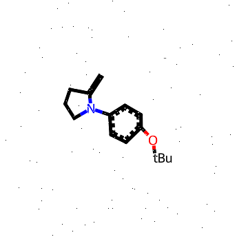 C=C1CCCN1c1ccc(OC(C)(C)C)cc1